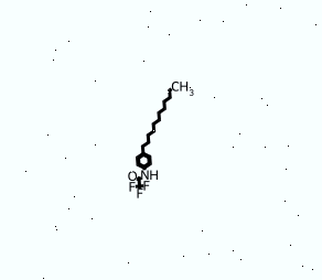 CCCCCCCCCCCCc1ccc(NC(=O)C(F)(F)F)cc1